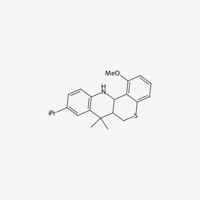 COc1cccc2c1C1Nc3ccc(C(C)C)cc3C(C)(C)C1CS2